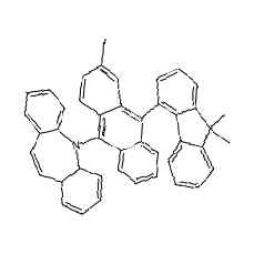 Cc1ccc2c(N3c4ccccc4C=CC4C=CC=CC43)c3ccccc3c(-c3cccc4c3-c3ccccc3C4(C)C)c2c1